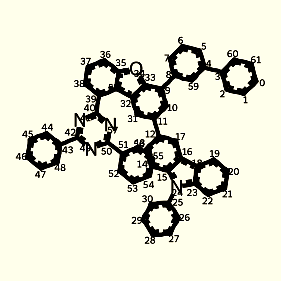 c1ccc(-c2cccc(-c3cc(-c4ccc5c(c4)c4ccccc4n5-c4ccccc4)cc4c3oc3cccc(-c5nc(-c6ccccc6)nc(-c6ccccc6)n5)c34)c2)cc1